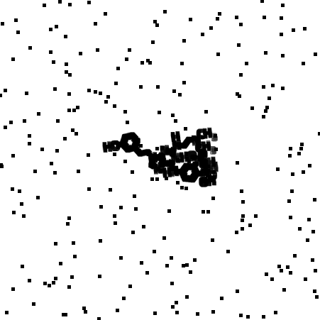 CN(C)CCNc1nc(Nc2ccc(P(=O)(O)O)c(P(=O)(O)O)c2)c2ncn(CCc3cccc(O)c3)c2n1